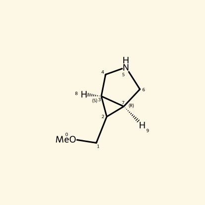 COCC1[C@H]2CNC[C@@H]12